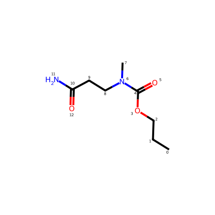 CCCOC(=O)N(C)CCC(N)=O